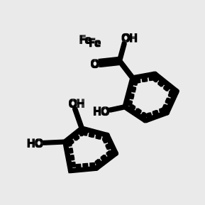 O=C(O)c1ccccc1O.Oc1ccccc1O.[Fe].[Fe]